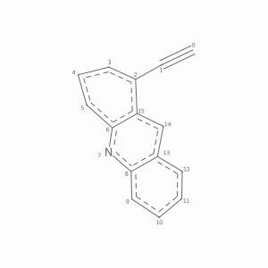 C#Cc1cccc2nc3ccccc3cc12